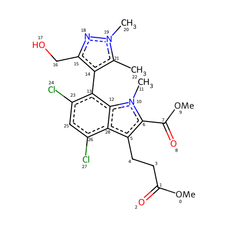 COC(=O)CCc1c(C(=O)OC)n(C)c2c(-c3c(CO)nn(C)c3C)c(Cl)cc(Cl)c12